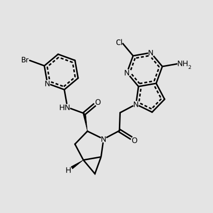 Nc1nc(Cl)nc2c1ccn2CC(=O)N1C2C[C@@H]2C[C@H]1C(=O)Nc1cccc(Br)n1